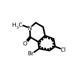 CN1CCc2cc(Cl)cc(Br)c2C1=O